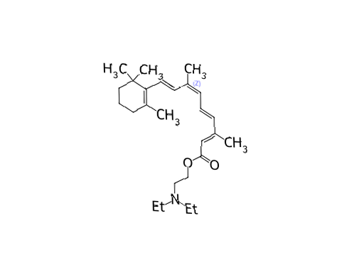 CCN(CC)CCOC(=O)C=C(C)C=C/C=C(/C)C=CC1=C(C)CCCC1(C)C